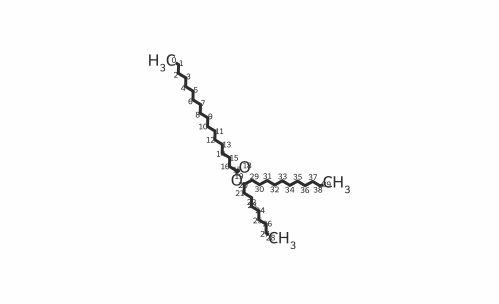 CCCCCCCCCCCCCCCCCC(=O)OC(CCCCCCCC)CCCCCCCCCCC